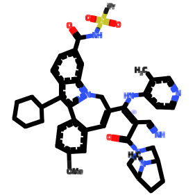 COc1ccc2c(c1)C=C(/C(Nc1ccncc1C)=C(/C=N)C(=O)N1CC3CCC(C1)N3C)Cn1c-2c(C2CCCCC2)c2ccc(C(=O)NS(=O)(=O)C(C)C)cc21